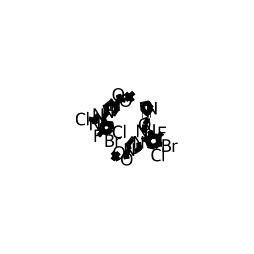 CC(C)(C)OC(=O)N1CCN(c2nc(Cl)nc3c(F)c(Br)c(Cl)cc23)CC1.CN1CCC[C@H]1COc1nc(N2CCN(C(=O)OC(C)(C)C)CC2)c2cc(Cl)c(Br)c(F)c2n1